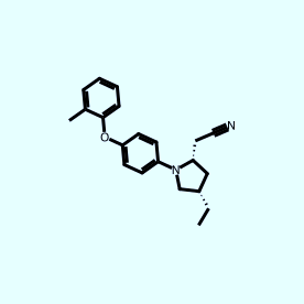 CC[C@H]1C[C@@H](CC#N)N(c2ccc(Oc3ccccc3C)cc2)C1